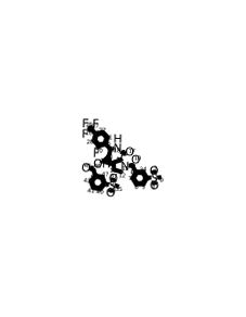 CS(=O)(=O)c1cccc(C(=O)N2CCC[C@@H]2C(=O)N[C@@H](c2ccc(C(F)(F)F)cc2F)C2CC2)c1.CS(=O)(=O)c1cccc(C(=O)O)c1